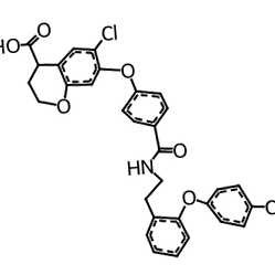 O=C(NCCc1ccccc1Oc1ccc(Cl)cc1)c1ccc(Oc2cc3c(cc2Cl)C(C(=O)O)CCO3)cc1